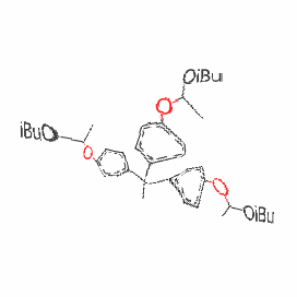 CC(C)COC(C)Oc1ccc(C(C)(c2ccc(OC(C)OCC(C)C)cc2)c2ccc(OC(C)OCC(C)C)cc2)cc1